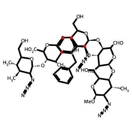 CO[C@H]1OC(CO)[C@@H](O[C@@H]2OC(C=O)[C@H](O[C@@H]3OC(CO)[C@@H](O[C@@H]4OC(C(=O)O)[C@@H](O[C@H]5OC(CO)[C@@H](C)[C@H](C)C5N=[N+]=[N-])[C@H](C)C4OCc4ccccc4)[C@H](O)C3N=[N+]=[N-])[C@@H](OCc3ccccc3)C2O)[C@H](C)C1N=[N+]=[N-]